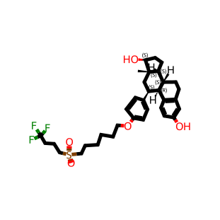 C[C@]12C[C@H](c3ccc(OCCCCCCS(=O)(=O)CCCC(F)(F)F)cc3)[C@@H]3c4ccc(O)cc4CC[C@H]3[C@@H]1CC[C@@H]2O